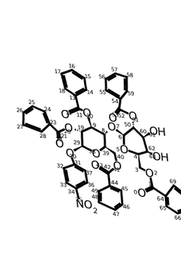 O=C(OC[C@H]1O[C@@H](O[C@H]2[C@H](OC(=O)c3ccccc3)[C@@H](OC(=O)c3ccccc3)[C@H](Oc3ccc([N+](=O)[O-])cc3)O[C@@H]2COC(=O)c2ccccc2)[C@H](OC(=O)c2ccccc2)[C@@H](O)[C@H]1O)c1ccccc1